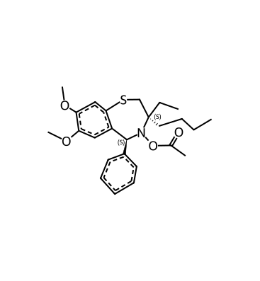 CCCC[C@@]1(CC)CSc2cc(OC)c(OC)cc2[C@H](c2ccccc2)N1OC(C)=O